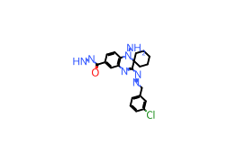 N=NC(=O)c1ccc2c(c1)N=C(N=NCc1cccc(Cl)c1)C1(CCCCC1)N2N